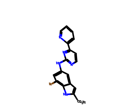 CCOC(=O)c1cc2cc(Nc3nccc(-c4ccccn4)n3)cc(Br)c2[nH]1